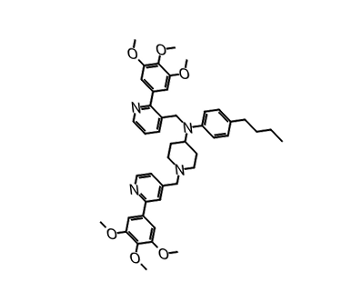 CCCCc1ccc(N(Cc2cccnc2-c2cc(OC)c(OC)c(OC)c2)C2CCN(Cc3ccnc(-c4cc(OC)c(OC)c(OC)c4)c3)CC2)cc1